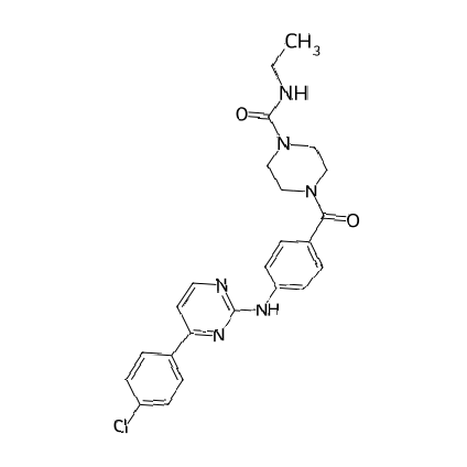 CCNC(=O)N1CCN(C(=O)c2ccc(Nc3nccc(-c4ccc(Cl)cc4)n3)cc2)CC1